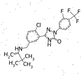 C=C(NCc1ccc(Cl)c(-c2nn(-c3ccc(C(F)(F)F)c(F)c3)c(=O)[nH]2)c1)C(C)(C)C